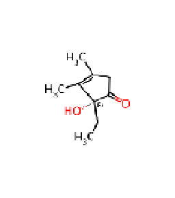 CC[C@]1(O)C(=O)CC(C)=C1C